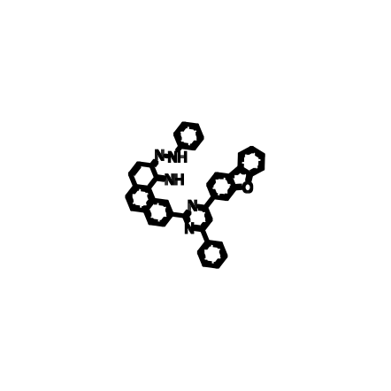 N=C1/C(=N\Nc2ccccc2)C=Cc2ccc3ccc(-c4nc(-c5ccccc5)cc(-c5ccc6c(c5)oc5ccccc56)n4)cc3c21